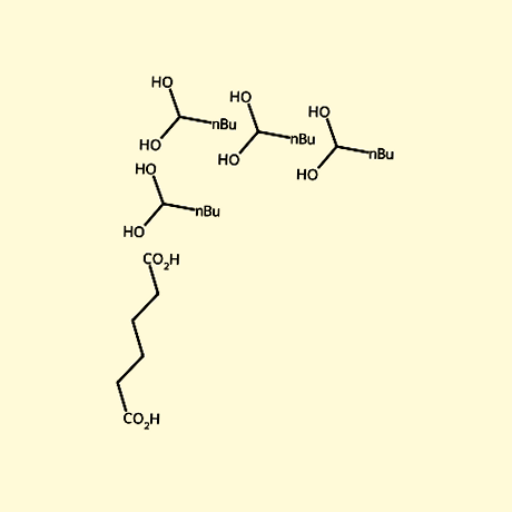 CCCCC(O)O.CCCCC(O)O.CCCCC(O)O.CCCCC(O)O.O=C(O)CCCCC(=O)O